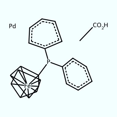 CC(=O)O.[Pd].c1ccc(P(c2ccccc2)[C]23[CH]4[CH]5[CH]6[CH]2[Fe]56432789[CH]3[CH]2[CH]7[CH]8[CH]39)cc1